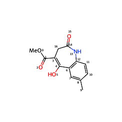 COC(=O)C1=C(O)c2cc(C)ccc2NC(=O)C1